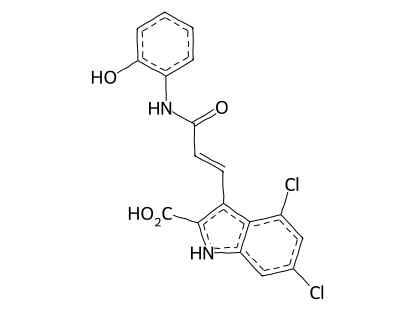 O=C(C=Cc1c(C(=O)O)[nH]c2cc(Cl)cc(Cl)c12)Nc1ccccc1O